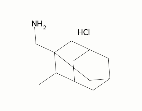 CC1C2CC3CC(C2)CC1(CN)C3.Cl